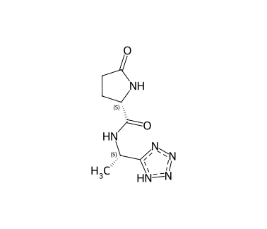 C[C@H](NC(=O)[C@@H]1CCC(=O)N1)c1nnn[nH]1